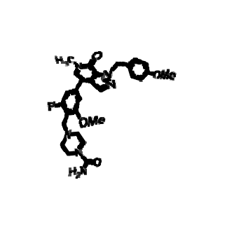 COc1ccc(Cn2ncc3c(-c4cc(F)c(CN5CCN(C(N)=O)CC5)c(OC)c4)cn(C)c(=O)c32)cc1